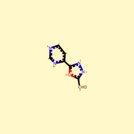 O=Cc1nnc(-c2ccncn2)o1